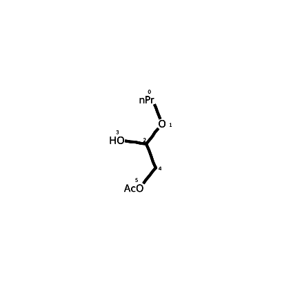 CCCOC(O)COC(C)=O